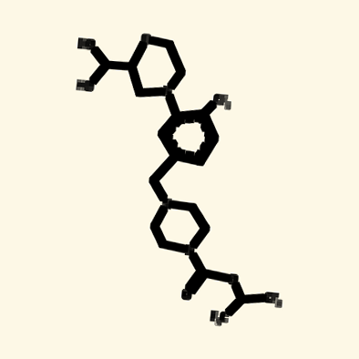 O=C(OC(C(F)(F)F)C(F)(F)F)N1CCN(Cc2ccc(C(F)(F)F)c(N3CCOC(C(O)O)C3)c2)CC1